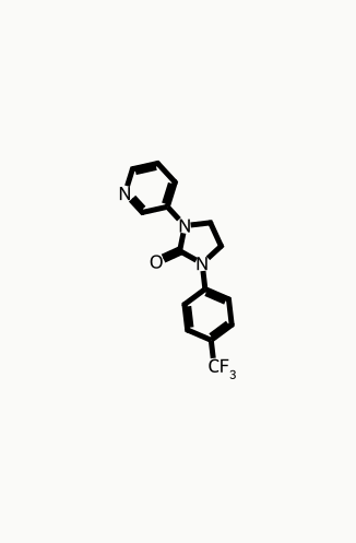 O=C1N(c2ccc(C(F)(F)F)cc2)CCN1c1cccnc1